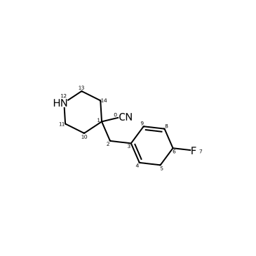 N#CC1(CC2=CCC(F)C=C2)CCNCC1